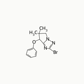 CC1(C)Cn2nc(Br)nc2C1Oc1ccccc1